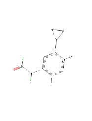 Cc1cc(C)c(C(Cl)C(=O)Cl)cc1C1CC1